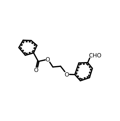 O=Cc1cccc(OCCOC(=O)c2ccccc2)c1